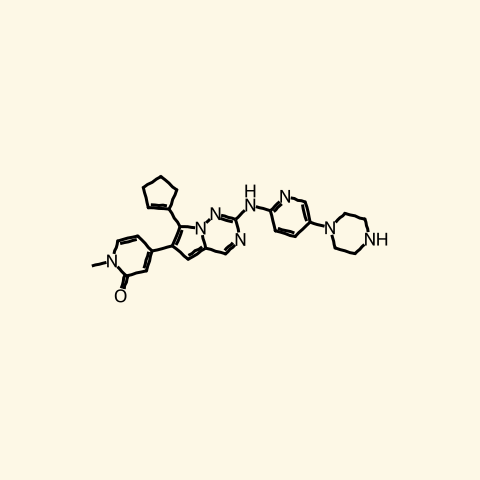 Cn1ccc(-c2cc3cnc(Nc4ccc(N5CCNCC5)cn4)nn3c2C2=CCCC2)cc1=O